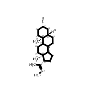 C/C(=N\O)[C@H]1CCC2C3CC[C@H]4C[C@@H](F)CC[C@]4(C)C3CC[C@@]21C